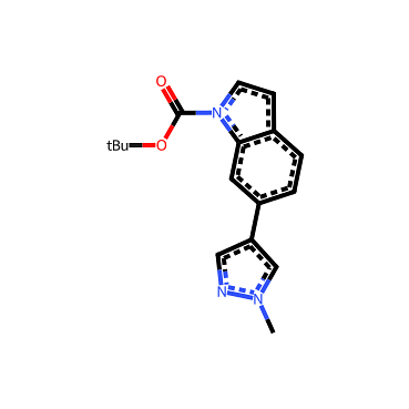 Cn1cc(-c2ccc3ccn(C(=O)OC(C)(C)C)c3c2)cn1